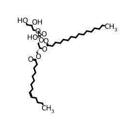 CCCC/C=C\CCCCCCCC(=O)OC[C@H](COP(=O)(O)OC[C@@H](O)CO)OC(=O)CCCCCCCCCCCCCCC